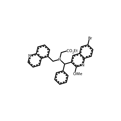 CCOC(=O)CN(Cc1cccc2ncccc12)C(c1ccccc1)c1cc2cc(Br)ccc2nc1OC